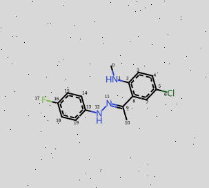 CNc1ccc(Cl)cc1/C(C)=N/Nc1ccc(F)cc1